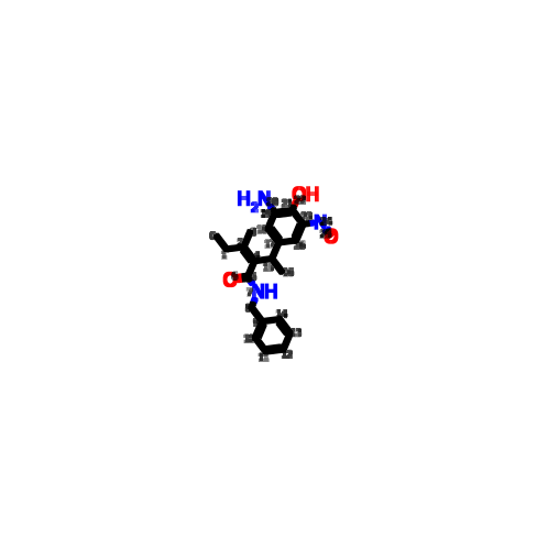 CC/C(C)=C(\C(=O)NCc1ccccc1)C(C)c1cc(N)c(O)c(N=O)c1